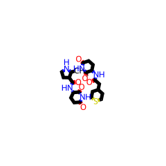 CC1NCCC1C(=O)NC1CCC(=O)NC1=O.O=C1CCC(NC(=O)CC2CCSCC2)C(=O)N1